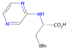 CC(C)(C)C[C@H](Nc1cnccn1)C(=O)O